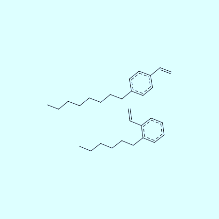 C=Cc1ccc(CCCCCCCC)cc1.C=Cc1ccccc1CCCCCC